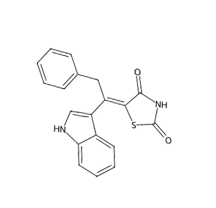 O=C1NC(=O)C(=C(Cc2ccccc2)c2c[nH]c3ccccc23)S1